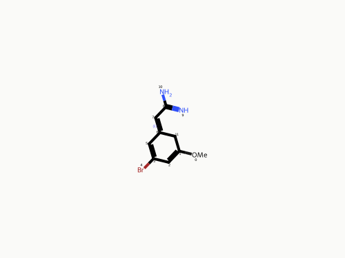 COC1=CC(Br)=C/C(=C/C(=N)N)C1